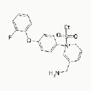 CCS(=O)(=O)[N+]1(c2ccc(Oc3ccccc3F)cc2)C=C(CN)C=CC1